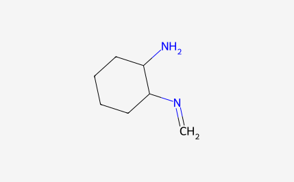 C=NC1CCCCC1N